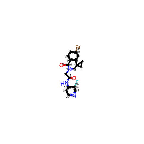 O=C(CN1CC2(CC2)c2cc(Br)ccc2C1=O)Nc1ccncc1F